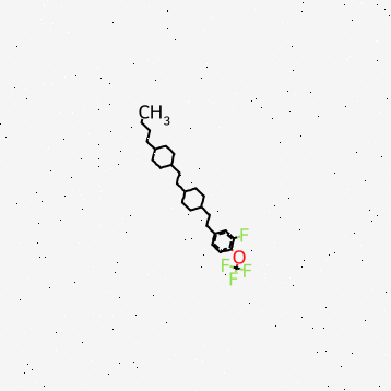 CCCCC1CCC(CCC2CCC(CCc3ccc(OC(F)(F)F)c(F)c3)CC2)CC1